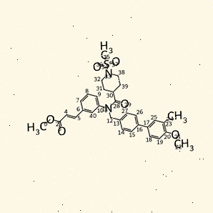 COC(=O)/C=C/c1cccc(N(Cc2ccc(-c3ccc(OC)c(C)c3)cc2)C(=O)C2CCN(S(C)(=O)=O)CC2)c1